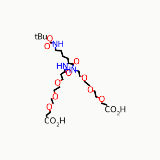 CC(C)(C)OC(=O)NCCCCC(NC(=O)CCOCCOCCOCCC(=O)O)C(=O)NCCOCCOCCOCCC(=O)O